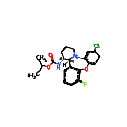 CC(C)OC(=O)N[C@@H]1CCCN2c3cc(Cl)ccc3Oc3c(F)cccc3[C@@H]12